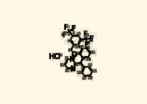 Cl.FC(F)(F)c1cc(CON2C=CC=N[C@@H]2C(c2ccccc2)c2ccccc2)cc(C(F)(F)F)c1